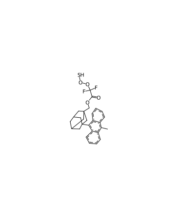 Cc1c2ccccc2c(C23CC4CC(CC(COC(=O)C(F)(F)OOS)(C4)C2)C3)c2ccccc12